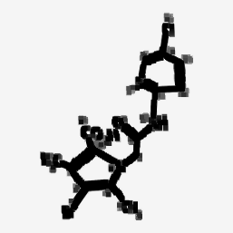 Cc1c(Br)c(C)n(CC(=O)Nc2ccc(Cl)cn2)c1C(=O)O